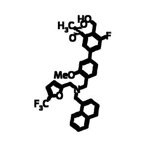 COc1cc(-c2cc(F)c(CO)c(S(C)(=O)=O)c2)ccc1CN(Cc1ccc(C(F)(F)F)o1)Cc1cccc2ccccc12